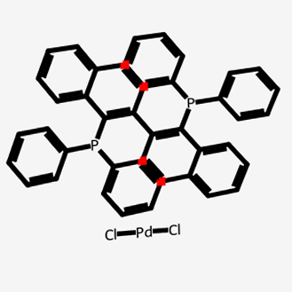 [Cl][Pd][Cl].c1ccc(P(c2ccccc2)c2c(-c3ccc4ccccc4c3P(c3ccccc3)c3ccccc3)ccc3ccccc23)cc1